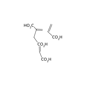 C=C(CC(=O)O)C(=O)O.C=CC(=O)O.C=CC(=O)O